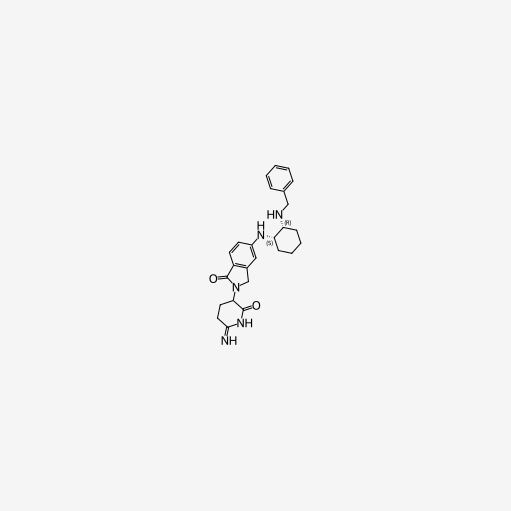 N=C1CCC(N2Cc3cc(N[C@H]4CCCC[C@H]4NCc4ccccc4)ccc3C2=O)C(=O)N1